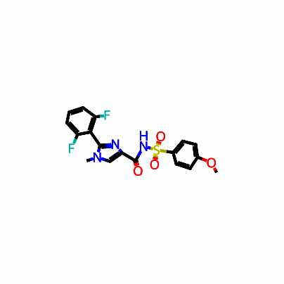 COc1ccc(S(=O)(=O)NC(=O)c2cn(C)c(-c3c(F)cccc3F)n2)cc1